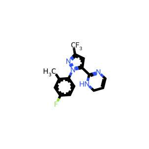 Cc1cc(F)ccc1-n1nc(C(F)(F)F)cc1C1=NC=CCN1